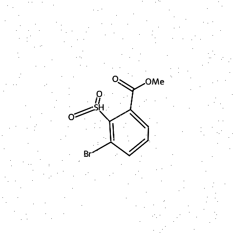 COC(=O)c1cccc(Br)c1[SH](=O)=O